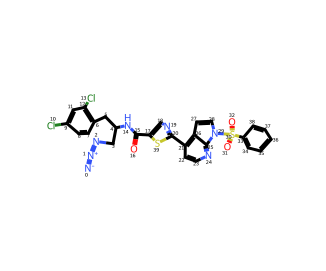 [N-]=[N+]=NCC(Cc1ccc(Cl)cc1Cl)NC(=O)c1cnc(-c2ccnc3c2ccn3S(=O)(=O)c2ccccc2)s1